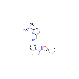 CN(C)c1cncc(CNc2ccc(Cl)c(C(=O)NCC3(O)CCCCC3)c2)n1